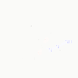 CC(C)c1cc(C(C)C)c(S(=O)(=O)N=[N+]=N)c(C(C)C)c1